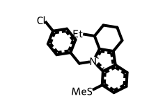 CCC1CCCc2c1n(Cc1ccc(Cl)cc1)c1c(SC)cccc21